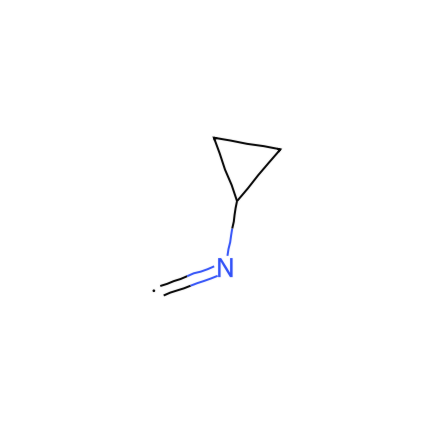 [CH]=NC1CC1